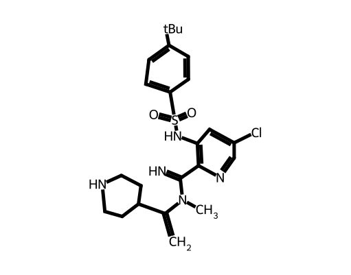 C=C(C1CCNCC1)N(C)C(=N)c1ncc(Cl)cc1NS(=O)(=O)c1ccc(C(C)(C)C)cc1